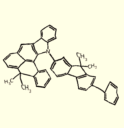 CC1(C)c2cc(-c3ccccc3)ccc2-c2ccc(-n3c4ccccc4c4cc5cccc6c5c(c43)-c3ccccc3C6(C)C)cc21